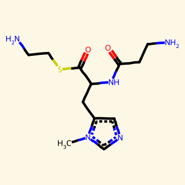 Cn1cncc1CC(NC(=O)CCN)C(=O)SCCN